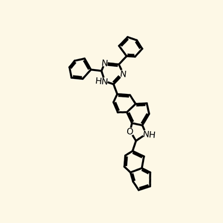 c1ccc(C2=NC(c3ccccc3)NC(c3ccc4c5c(ccc4c3)NC(c3ccc4ccccc4c3)O5)=N2)cc1